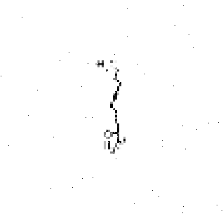 [CH2]CCCC#CCCCCC(=O)OC